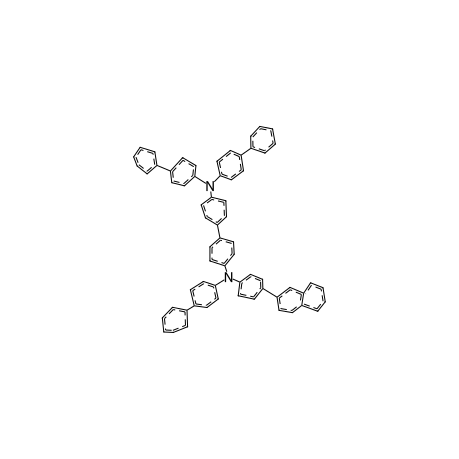 c1ccc(-c2ccc(N(c3ccc(-c4ccccc4)cc3)c3ccc(-c4ccc(N(c5ccc(-c6ccccc6)cc5)c5ccc(-c6ccc7ccccc7c6)cc5)cc4)cc3)cc2)cc1